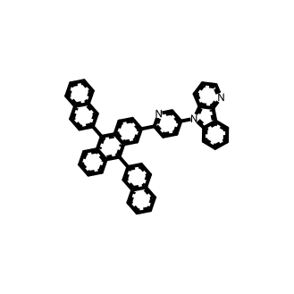 c1ccc2cc(-c3c4ccccc4c(-c4ccc5ccccc5c4)c4cc(-c5ccc(-n6c7ccccc7c7ncccc76)cn5)ccc34)ccc2c1